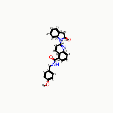 COc1ccc(CNC(=O)c2cccc3nc(N4C(=O)Cc5ccccc54)ccc23)cc1